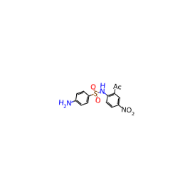 CC(=O)c1cc([N+](=O)[O-])ccc1NS(=O)(=O)c1ccc(N)cc1